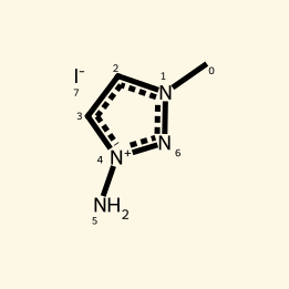 Cn1cc[n+](N)n1.[I-]